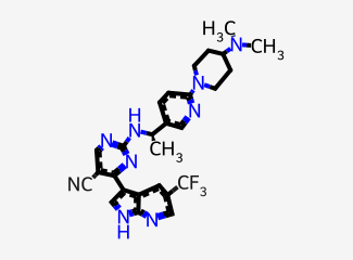 C[C@@H](Nc1ncc(C#N)c(-c2c[nH]c3ncc(C(F)(F)F)cc23)n1)c1ccc(N2CCC(N(C)C)CC2)nc1